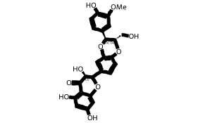 COc1cc([C@@H]2Oc3cc(C4Oc5cc(O)cc(O)c5C(=O)[C@H]4O)ccc3O[C@H]2CO)ccc1O